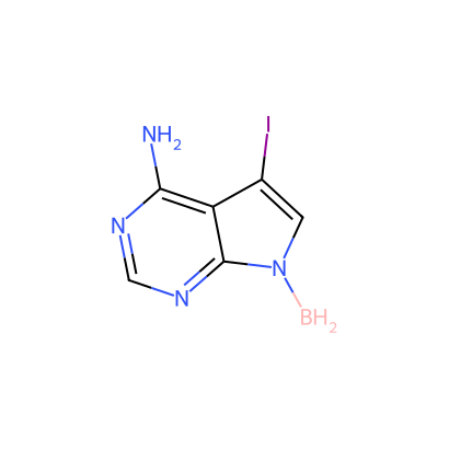 Bn1cc(I)c2c(N)ncnc21